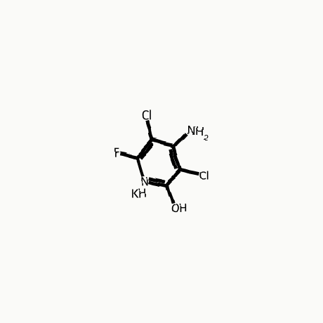 Nc1c(Cl)c(O)nc(F)c1Cl.[KH]